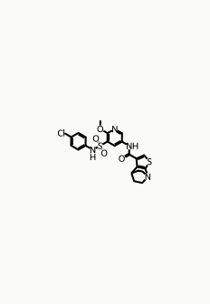 COc1ncc(NC(=O)c2csc3c2C2CCN3CC2)cc1S(=O)(=O)Nc1ccc(Cl)cc1